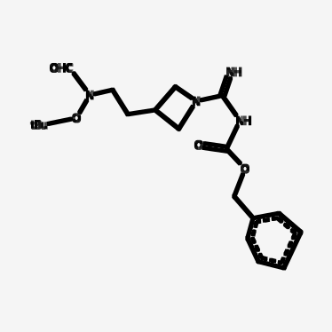 CC(C)(C)ON(C=O)CCC1CN(C(=N)NC(=O)OCc2ccccc2)C1